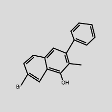 Cc1c(-c2ccccc2)cc2ccc(Br)cc2c1O